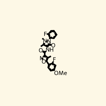 COc1ccc(-c2onc(C(=O)Nc3c(C)n(C)n(-c4ccccc4F)c3=O)c2C)c(F)c1